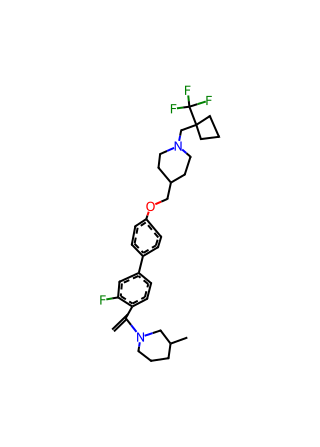 C=C(c1ccc(-c2ccc(OCC3CCN(CC4(C(F)(F)F)CCC4)CC3)cc2)cc1F)N1CCCC(C)C1